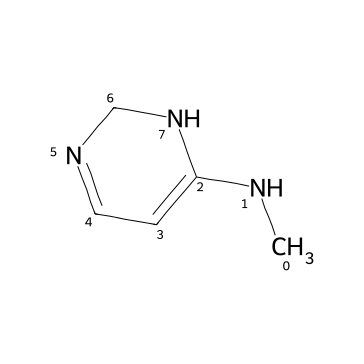 CNC1=CC=NCN1